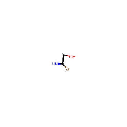 N=C(Br)CO